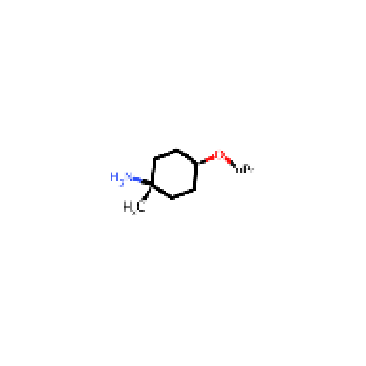 CCCO[C@H]1CC[C@](C)(N)CC1